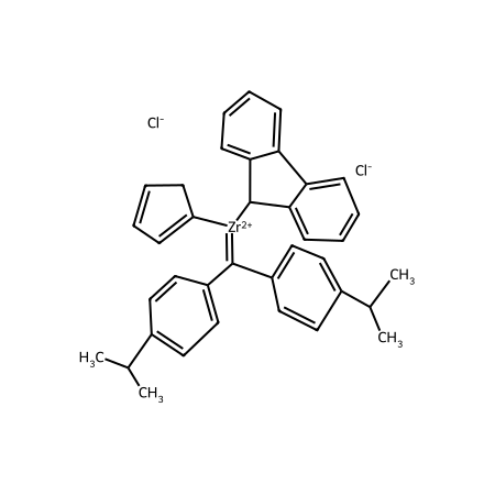 CC(C)c1ccc([C](c2ccc(C(C)C)cc2)=[Zr+2]([C]2=CC=CC2)[CH]2c3ccccc3-c3ccccc32)cc1.[Cl-].[Cl-]